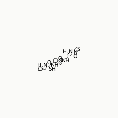 NC(CCCCNS(=O)(=O)c1cccc(NC(=O)C(S)C(N)Cc2ccccc2)c1)C(=O)N1CCSC1